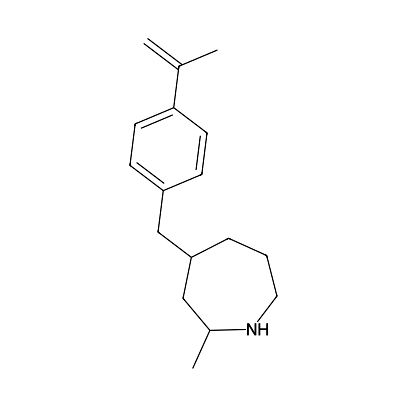 C=C(C)c1ccc(CC2CCCNC(C)C2)cc1